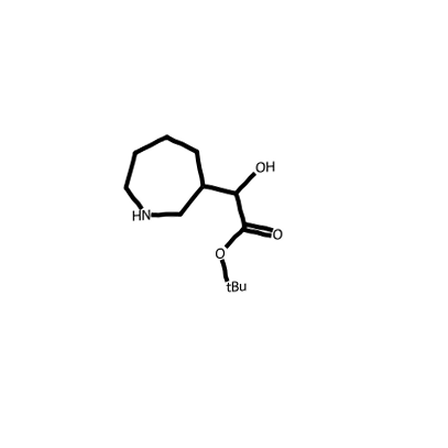 CC(C)(C)OC(=O)C(O)C1CCCCNC1